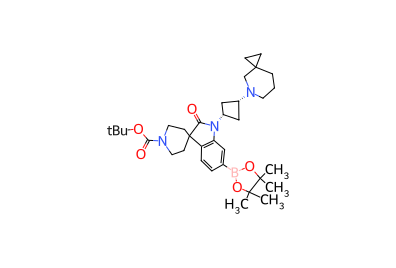 CC(C)(C)OC(=O)N1CCC2(CC1)C(=O)N([C@H]1C[C@@H](N3CCCC4(CC4)C3)C1)c1cc(B3OC(C)(C)C(C)(C)O3)ccc12